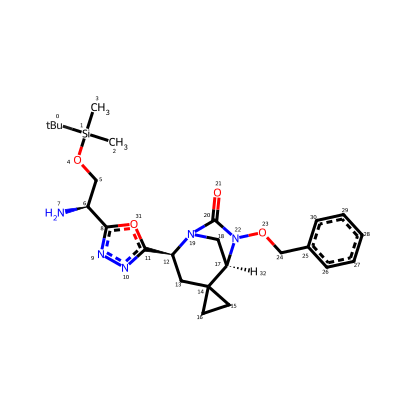 CC(C)(C)[Si](C)(C)OC[C@H](N)c1nnc([C@@H]2CC3(CC3)[C@H]3CN2C(=O)N3OCc2ccccc2)o1